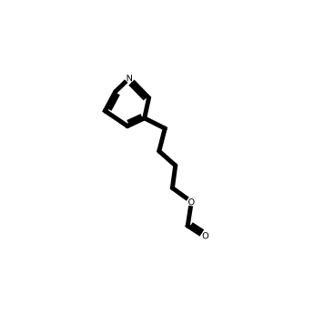 O=[C]OCCCCc1cccnc1